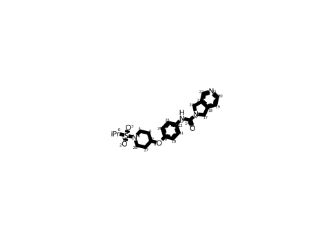 CC(C)S(=O)(=O)N1CCC(Oc2ccc(NC(=O)N3Cc4ccncc4C3)cc2)CC1